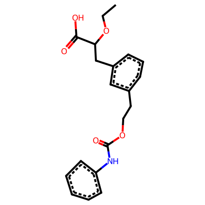 CCOC(Cc1cccc(CCOC(=O)Nc2ccccc2)c1)C(=O)O